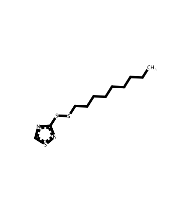 CCCCCCCCCSSc1ncsn1